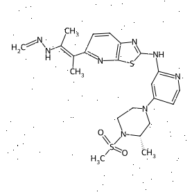 C=NN/C(C)=C(\C)c1ccc2nc(Nc3cc(N4CCN(S(C)(=O)=O)[C@@H](C)C4)ccn3)sc2n1